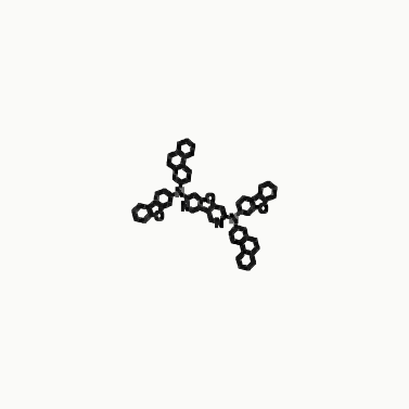 c1ccc2c(c1)ccc1cc(N(c3ccc4c(c3)oc3ccccc34)c3cc4oc5cc(N(c6ccc7c(ccc8ccccc87)c6)c6ccc7c(c6)oc6ccccc67)ncc5c4cn3)ccc12